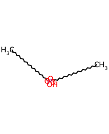 CCCCCCCCCCCCCCCCCCCOP(=O)(O)OCCCCCCCCCCCCCCCCCCC